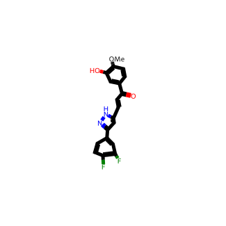 COc1ccc(C(=O)C=Cc2cc(-c3ccc(F)c(F)c3)n[nH]2)cc1O